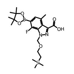 Cc1cc(B2OC(C)(C)C(C)(C)O2)c(F)c2c1c(C(=O)O)nn2COCC[Si](C)(C)C